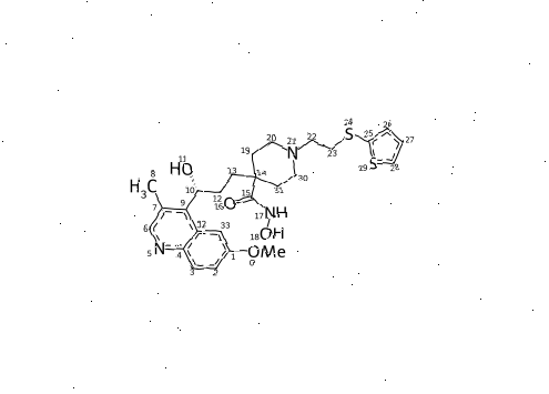 COc1ccc2ncc(C)c([C@H](O)CCC3(C(=O)NO)CCN(CCSc4cccs4)CC3)c2c1